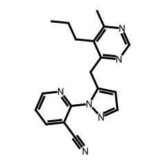 CCCc1c(C)ncnc1Cc1ccnn1-c1ncccc1C#N